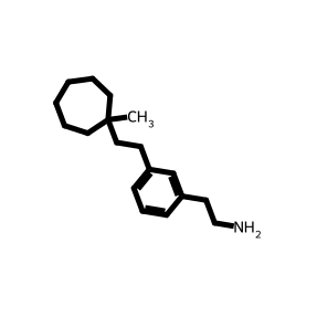 CC1(CCc2cccc(CCN)c2)CCCCCC1